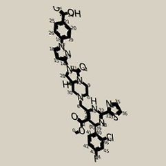 COC(=O)C1=C(CN2CCN3C(=O)N(c4ccn(-c5ccc(C(=O)O)cc5)n4)C[C@@H]3C2)NC(c2nccs2)=N[C@H]1c1ccc(F)cc1Cl